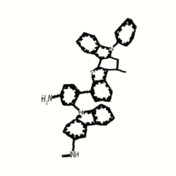 CNc1ccc2c(c1)c1ccccc1n2-c1cc(N)ccc1-c1cccc2c3c(sc12)-c1c(n(-c2ccccc2)c2ccccc12)CC3C